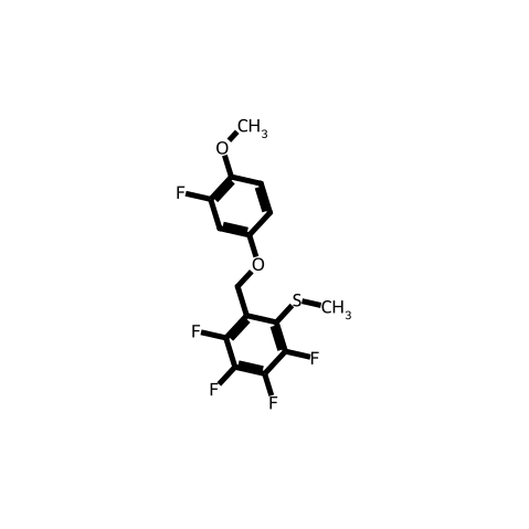 COc1ccc(OCc2c(F)c(F)c(F)c(F)c2SC)cc1F